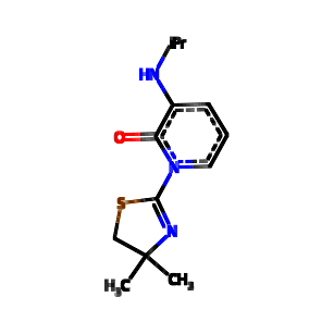 CC(C)Nc1cccn(C2=NC(C)(C)CS2)c1=O